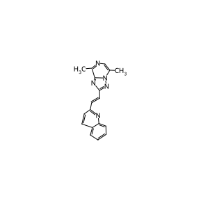 Cc1ncc(C)n2nc(C=Cc3ccc4ccccc4n3)nc12